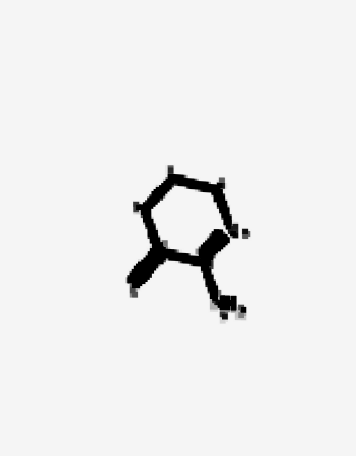 C=C1CCCN=C1N